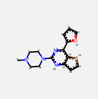 CN1CCN(c2nc(-c3ccco3)c3sccc3n2)CC1